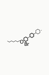 CCCCCCCOc1ccc(-c2ccc(C3CC[CH]CC3)cc2)cc1Br